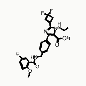 CCNn1c(C2CC(F)(F)C2)nc(-c2ccc(CNC(=O)c3cc(F)ccc3OC)cc2)c1C(=O)O